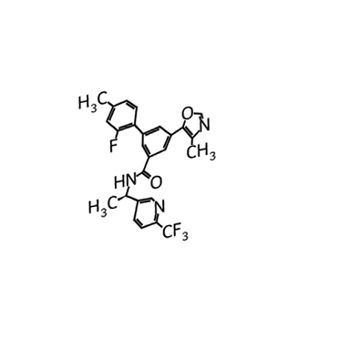 Cc1ccc(-c2cc(C(=O)N[C@H](C)c3ccc(C(F)(F)F)nc3)cc(-c3ocnc3C)c2)c(F)c1